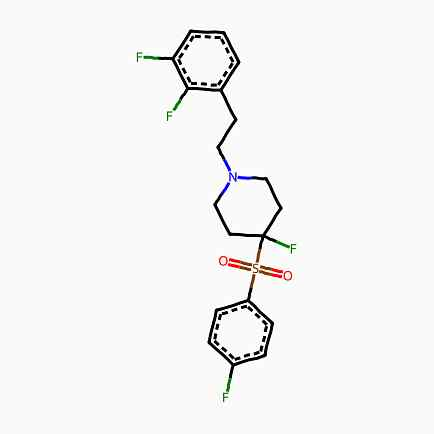 O=S(=O)(c1ccc(F)cc1)C1(F)CCN(CCc2cccc(F)c2F)CC1